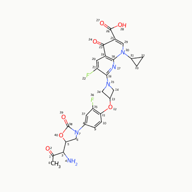 CC(=O)C(N)C1CN(c2ccc(OC3CN(c4nc5c(cc4F)c(=O)c(C(=O)O)cn5C4CC4)C3)c(F)c2)C(=O)O1